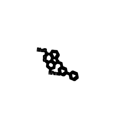 CCCCCC1CC(=O)c2c(n(Cc3cccc(-c4ccccc4)c3)c3cccc(C(=O)OC)c23)C1